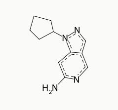 Nc1cc2c(cn1)cnn2C1CCCC1